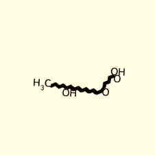 CCCCCC(O)C=CC=CC=CC=CC1OC1CCCC(=O)O